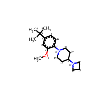 COc1cc(C(C)(C)C)ccc1N1CCC(N2CCC2)CC1